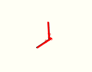 CCCCCC=CCC=CCCCCCCCCOC(=O)CCCCOc1cc(C=O)cc(OCCCCC(=O)OCCCCCCCCC=CCC=CCCCCC)c1